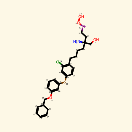 NC(CO)(CCCCc1ccc(Sc2cccc(OCC3C=CC=CC3)c2)cc1Cl)CCPOO